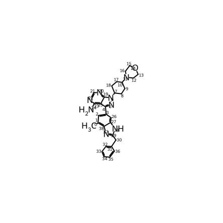 Cc1cc(-c2nn(C3CCC(N4CCOCC4)CC3)c3ncnc(N)c23)cc2[nH]c(Cc3ccccc3)nc12